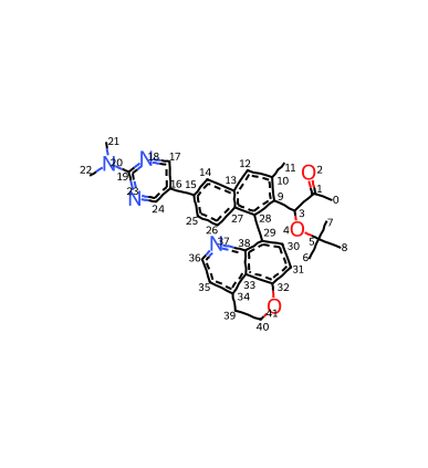 CC(=O)C(OC(C)(C)C)c1c(C)cc2cc(-c3cnc(N(C)C)nc3)ccc2c1-c1ccc2c3c(ccnc13)CCO2